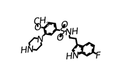 COc1ccc(S(=O)(=O)NCCc2c[nH]c3cc(F)ccc23)cc1N1CCNCC1